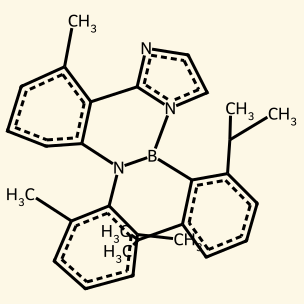 Cc1cccc2c1-c1nccn1B(c1c(C(C)C)cccc1C(C)C)N2c1c(C)cccc1C